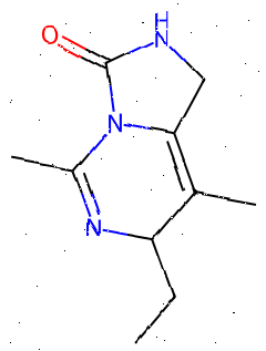 CCC1N=C(C)N2C(=O)NCC2=C1C